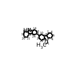 CCn1c2ccccc2c2cc(-c3ccc4[nH]c5ccccc5c4c3)ccc21